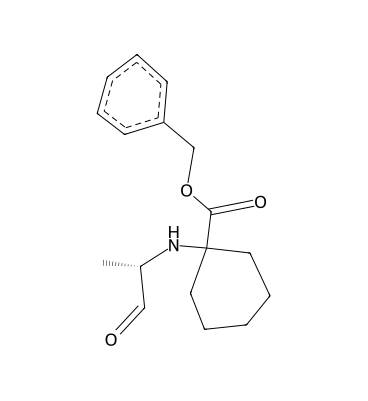 C[C@@H](C=O)NC1(C(=O)OCc2ccccc2)CCCCC1